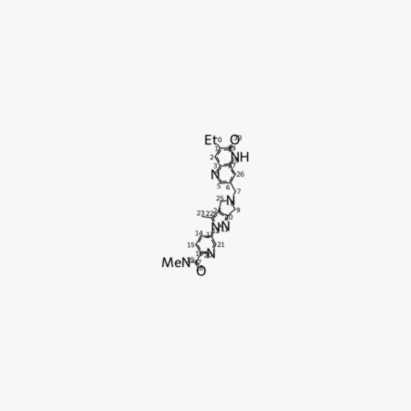 CCc1cc2ncc(CN3Cc4nn(-c5ccc(C(=O)NC)nc5)c(C)c4C3)cc2[nH]c1=O